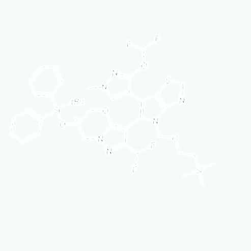 Cn1cc(-c2c(-c3c(C(F)F)nn4c3OC[C@@H](O[Si](c3ccccc3)(c3ccccc3)C(C)(C)C)C4)n(COCC[Si](C)(C)C)c3ncsc23)c(OC(F)F)n1